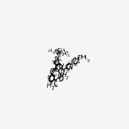 C=C(C(N)=O)c1cccc(Oc2nc(Nc3ccc(N4CCN(C)CC4)nc3)nc3c2ccn3COCC[Si](C)(C)C)c1